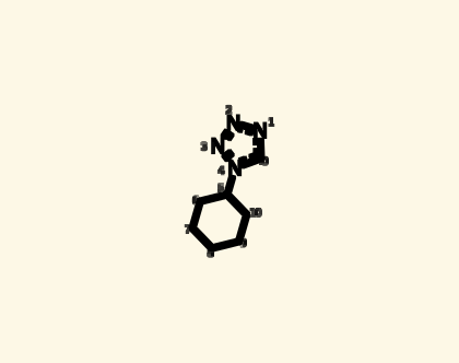 [c]1nnnn1C1CCCCC1